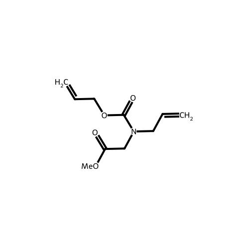 C=CCOC(=O)N(CC=C)CC(=O)OC